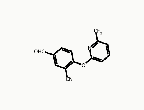 N#Cc1cc(C=O)ccc1Oc1cccc(C(F)(F)F)n1